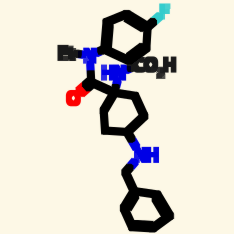 CCN(C(=O)C1(NC(=O)O)CCC(NCc2ccccc2)CC1)c1ccc(F)cc1